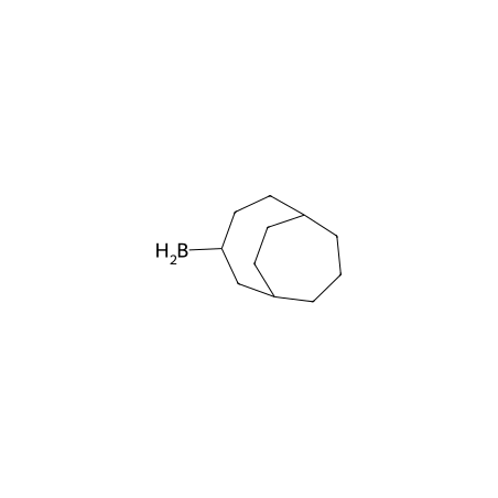 BC1CCC2CCCC(CC2)C1